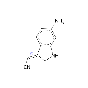 N#C/C=C1\CNc2cc(N)ccc21